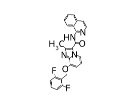 Cc1nc2c(OCc3c(F)cccc3F)cccn2c1C(=O)Nc1nccc2ccccc12